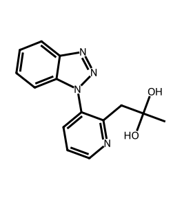 CC(O)(O)Cc1ncccc1-n1nnc2ccccc21